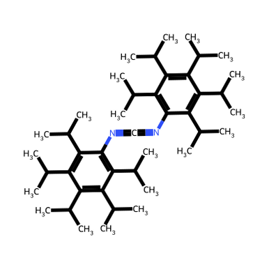 CC(C)c1c(N=C=Nc2c(C(C)C)c(C(C)C)c(C(C)C)c(C(C)C)c2C(C)C)c(C(C)C)c(C(C)C)c(C(C)C)c1C(C)C